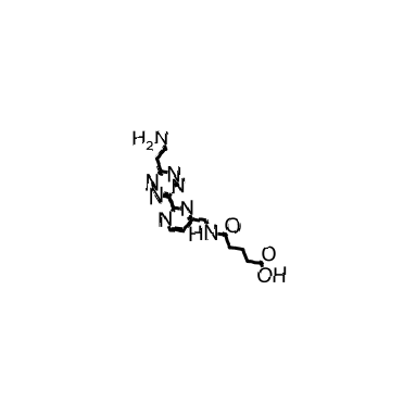 NCCc1nnc(-c2nccc(CNC(=O)CCCC(=O)O)n2)nn1